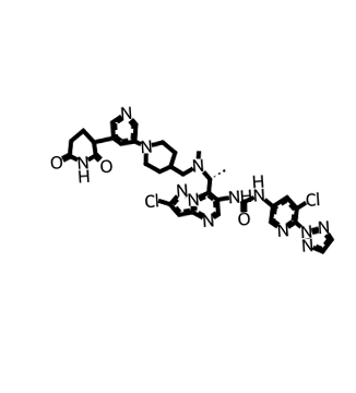 C[C@H](c1c(NC(=O)Nc2cnc(-n3nccn3)c(Cl)c2)cnc2cc(Cl)nn12)N(C)CC1CCN(c2cncc(C3CCC(=O)NC3=O)c2)CC1